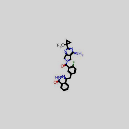 Nc1nc(C2(C(F)(F)F)CC2)nc2c1CN(C(=O)c1cc(Cc3n[nH]c(=O)c4ccccc34)ccc1F)C2